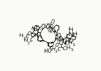 CCn1c(-c2cccnc2[C@H](C)OC)c2c3cc(ccc31)-c1cc(O)cc(c1)C[C@H](NC(=O)C(C(C)C)N(C)C(=O)[C@H]1CN[C@@H]3CCO[C@H]13)C(=O)N1CCC[C@H](N1)C(=O)OCC(C)(C)C2